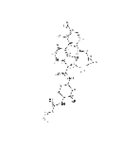 COCC(=O)NC1CCC(NC(=O)c2c(C)[nH]c3c(-c4c(OCC5CC5)ccc(C)c4F)ncnc23)CC1F